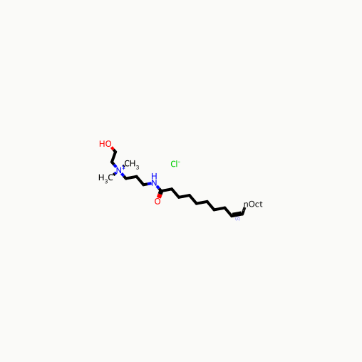 CCCCCCCC/C=C\CCCCCCCC(=O)NCCC[N+](C)(C)CCO.[Cl-]